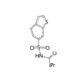 CC(C)C(=O)NS(=O)(=O)c1ccc2ccsc2c1